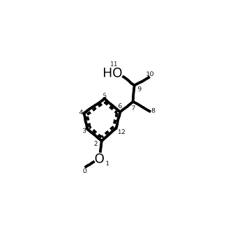 COc1cccc(C(C)C(C)O)c1